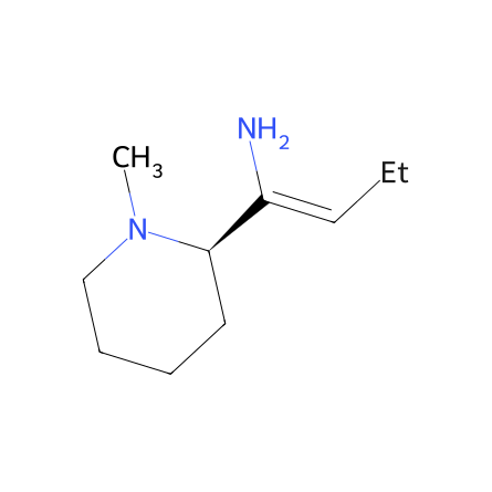 CCC=C(N)[C@H]1CCCCN1C